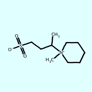 CC(CCS(=O)(=O)[O-])[N+]1(C)CCCCC1